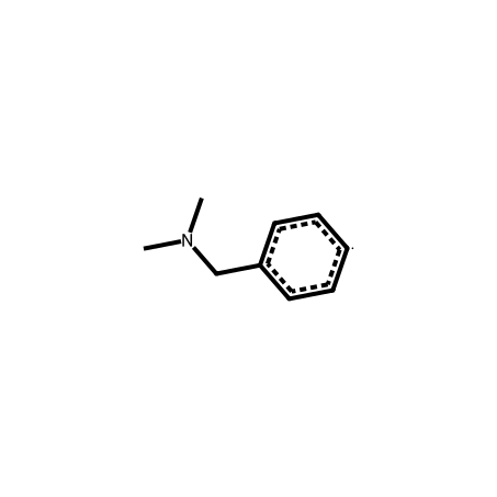 CN(C)Cc1cc[c]cc1